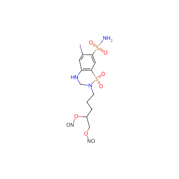 NS(=O)(=O)c1cc2c(cc1I)NCN(CCCC(CON=O)ON=O)S2(=O)=O